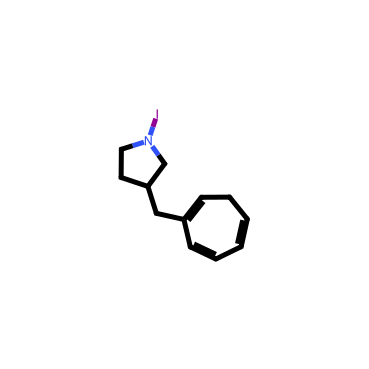 IN1CCC(CC2=CCC=CC=C2)C1